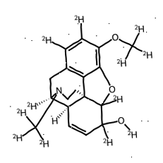 [2H]OC1([2H])C=C[C@H]2[C@@]3([2H])Cc4c([2H])c([2H])c(OC([2H])([2H])[2H])c5c4[C@@]2(CCN3C([2H])([2H])[2H])C1([2H])O5